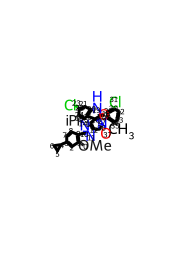 COc1cc(C2CC2)ccc1-c1nc2c(n1C(C)C)C1(C(=O)Nc3cc(Cl)ccc31)N(c1cc(Cl)ccc1C)C2=O